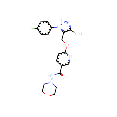 Cc1nnn(-c2ccc(F)cc2)c1COc1ccc(C(=O)NN2CCOCC2)cn1